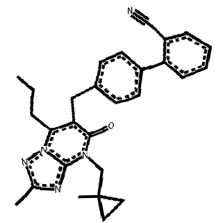 CCCc1c(Cc2ccc(-c3ccccc3C#N)cc2)c(=O)n(CC2(C)CC2)c2nc(C)nn12